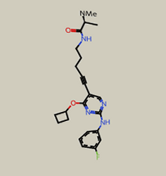 CN[C@@H](C)C(=O)NCCCC#Cc1cnc(Nc2cccc(F)c2)nc1OC1CCC1